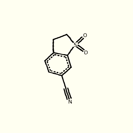 N#Cc1ccc2c(c1)S(=O)(=O)CC2